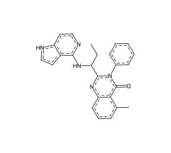 CCC(Nc1nccc2[nH]ccc12)c1nc2cccc(C)c2c(=O)n1-c1ccccc1